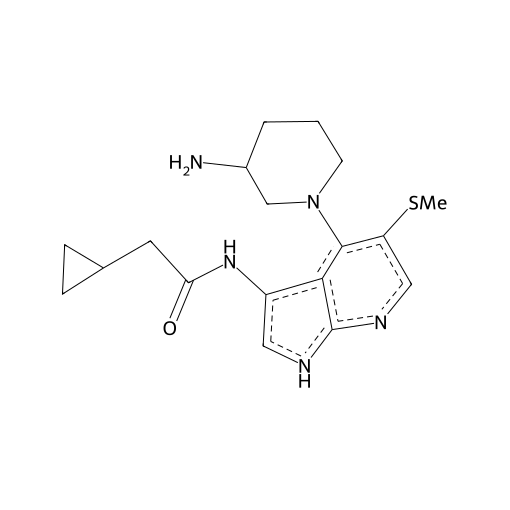 CSc1cnc2[nH]cc(NC(=O)CC3CC3)c2c1N1CCCC(N)C1